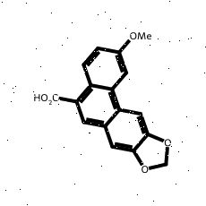 COc1ccc2c(C(=O)O)cc3cc4c(cc3c2c1)OCO4